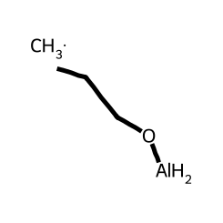 CCC[O][AlH2].[CH3]